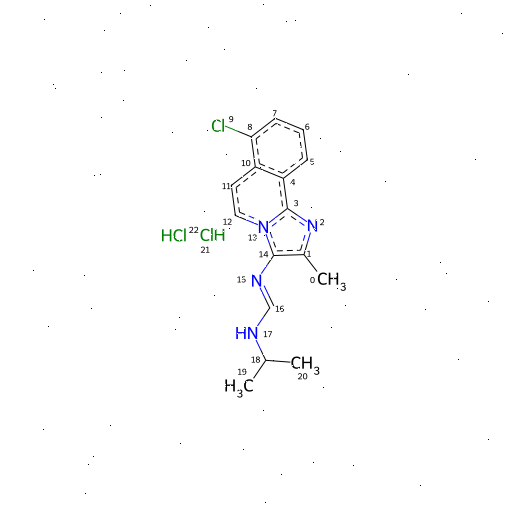 Cc1nc2c3cccc(Cl)c3ccn2c1/N=C/NC(C)C.Cl.Cl